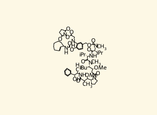 CC[C@H](C)[C@@H]([C@@H](CC(=O)N1CCC[C@H]1[C@H](OC)[C@@H](C)C(=O)N[C@H](C)[C@@H](O)c1ccccc1)OC)N(C)C(=O)[C@@H](NC(=O)[C@H](C(C)C)N(C)C(=O)OCc1ccc(OC(=O)NC2/C=C/CCCCC2)c(NCC(=O)ON2C(=O)CCC2=O)c1)C(C)C